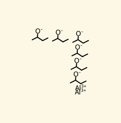 CCC(C)[O-].CCC(C)[O-].CCC(C)[O-].CCC(C)[O-].CCC(C)[O-].CCC(C)[O-].[Al+3].[Al+3]